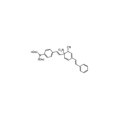 CCCCCCCCCCN(CCCCCCCCCC)c1ccc(C=CC2([N+](=O)[O-])C=CC(C=Cc3ccccc3)=CC2C#N)cc1